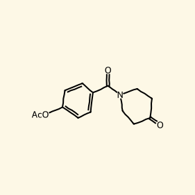 CC(=O)Oc1ccc(C(=O)N2CCC(=O)CC2)cc1